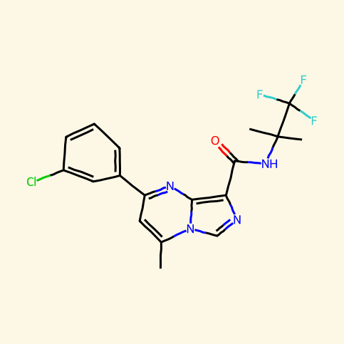 Cc1cc(-c2cccc(Cl)c2)nc2c(C(=O)NC(C)(C)C(F)(F)F)ncn12